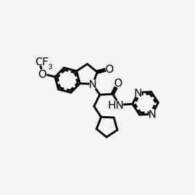 O=C(Nc1cnccn1)C(CC1CCCC1)N1C(=O)Cc2cc(OC(F)(F)F)ccc21